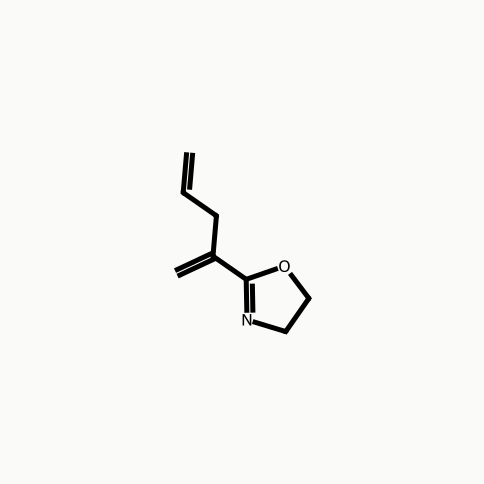 C=CCC(=C)C1=NCCO1